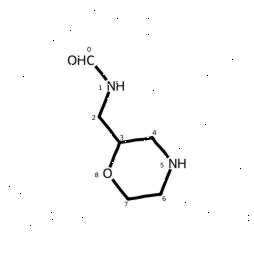 O=CNCC1CNCCO1